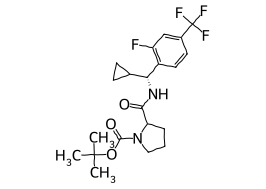 CC(C)(C)OC(=O)N1CCCC1C(=O)N[C@@H](c1ccc(C(F)(F)F)cc1F)C1CC1